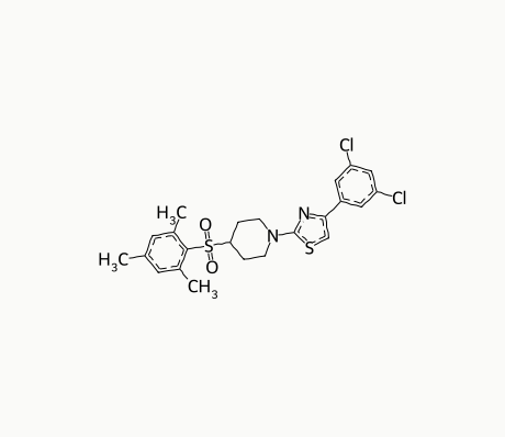 Cc1cc(C)c(S(=O)(=O)C2CCN(c3nc(-c4cc(Cl)cc(Cl)c4)cs3)CC2)c(C)c1